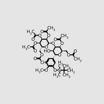 COc1ccc([C@H]2O[C@H](COC(C)=O)[C@@H](OC(C)=O)[C@H](O[C@H]3O[C@H](COC(C)=O)[C@@H](OC(C)=O)[C@@H](OC(C)=O)[C@H]3OC(C)=O)[C@@H]2O)cc1O[Si](C)(C)C(C)(C)C